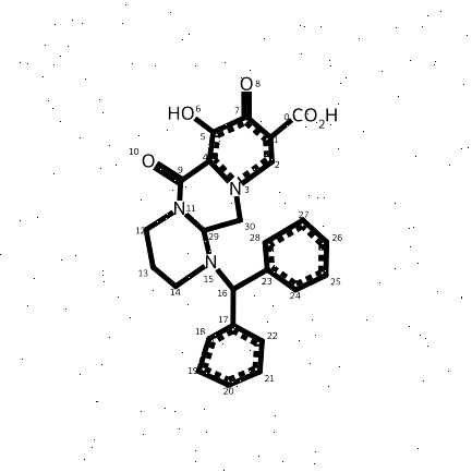 O=C(O)c1cn2c(c(O)c1=O)C(=O)N1CCCN(C(c3ccccc3)c3ccccc3)C1C2